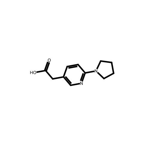 O=C(O)Cc1ccc(N2CCCC2)nc1